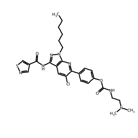 CCCCCCn1nc(NC(=O)c2cnsc2)c2cc(Cl)c(-c3ccc(OC(=O)NCCN(C)C)cc3)nc21